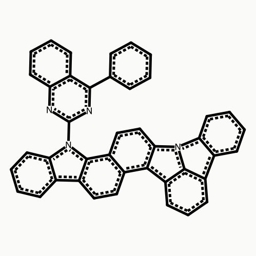 c1ccc(-c2nc(-n3c4ccccc4c4ccc5c(ccc6c5c5cccc7c8ccccc8n6c75)c43)nc3ccccc23)cc1